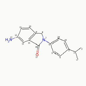 CC(C)c1ccc(N2Cc3ccc(N)cc3C2=O)cc1